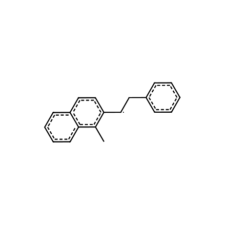 Cc1c([CH]Cc2ccccc2)ccc2ccccc12